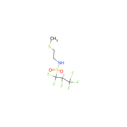 CSCCNS(=O)(=O)C(F)(F)C(F)(F)C(F)(F)F